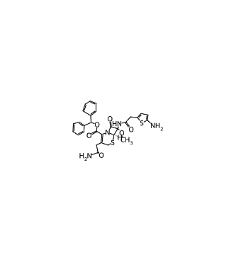 CO[C@@]1(NC(=O)Cc2ccc(N)s2)C(=O)N2C(C(=O)OC(c3ccccc3)c3ccccc3)=C(CC(N)=O)CS[C@@H]21